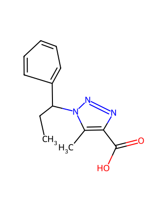 CCC(c1ccccc1)n1nnc(C(=O)O)c1C